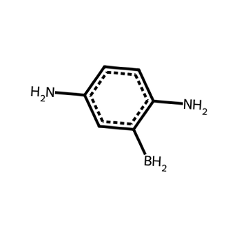 Bc1cc(N)ccc1N